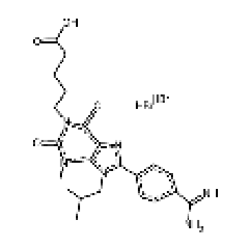 Br.Br.CC(C)Cn1c(-c2ccc(C(=N)N)cc2)nc2c(=O)n(CCCCC(=O)O)c(=O)n(C)c21